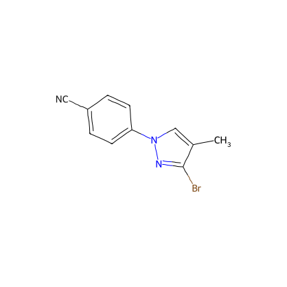 Cc1cn(-c2ccc(C#N)cc2)nc1Br